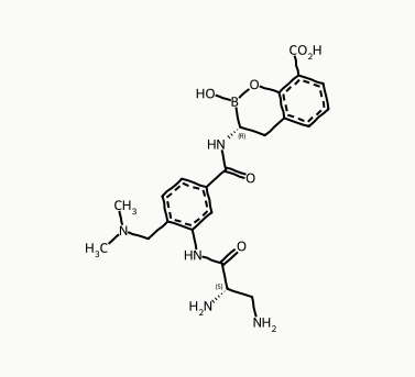 CN(C)Cc1ccc(C(=O)N[C@H]2Cc3cccc(C(=O)O)c3OB2O)cc1NC(=O)[C@@H](N)CN